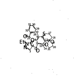 CCn1ncc(C(=O)c2cc(C)c3c(c2C)C2(CCS3)OCCO2)c1OC(=O)c1ccccc1